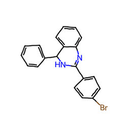 Brc1ccc(C2=Nc3ccccc3C(c3ccccc3)N2)cc1